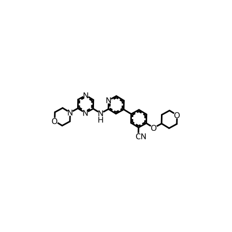 N#Cc1cc(-c2ccnc(Nc3cncc(N4CCOCC4)n3)c2)ccc1OC1CCOCC1